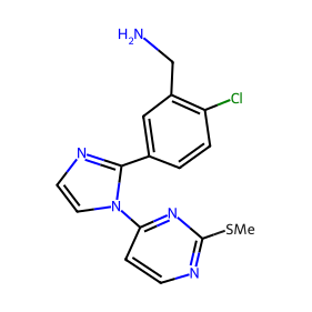 CSc1nccc(-n2ccnc2-c2ccc(Cl)c(CN)c2)n1